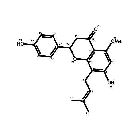 COc1cc(O)c(CC=C(C)C)c2c1C(=O)C[C@H](c1ccc(O)cc1)O2